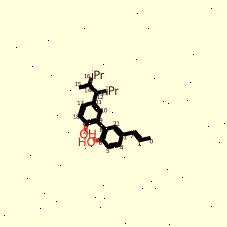 C/C=C/c1ccc(O)c(-c2cc(C(C(C)C)C(C)C(C)C)ccc2O)c1